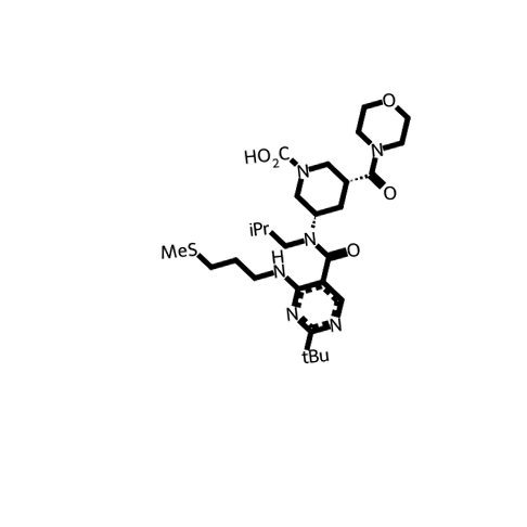 CSCCCNc1nc(C(C)(C)C)ncc1C(=O)N(CC(C)C)[C@H]1C[C@@H](C(=O)N2CCOCC2)CN(C(=O)O)C1